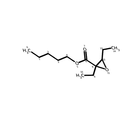 CCCCCOC(=O)C1(CC)OC1CC